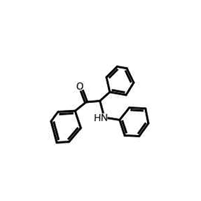 O=C(c1ccccc1)C(Nc1ccccc1)c1ccccc1